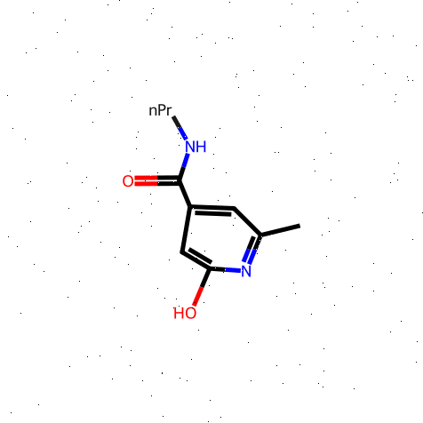 CCCNC(=O)c1cc(C)nc(O)c1